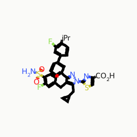 CC(C)c1ccc(-c2cccc(-c3nn(-c4nc(C(=O)O)cs4)c(CC4CC4)c3Cc3ccc(S(N)(=O)=O)c(F)c3)c2)cc1F